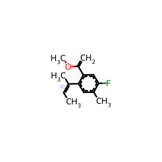 C=C(OC)c1cc(F)c(C)cc1/C(C)=C\C